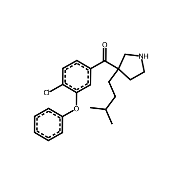 CC(C)CCC1(C(=O)c2ccc(Cl)c(Oc3ccccc3)c2)CCNC1